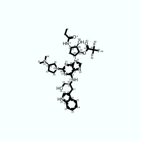 CCC(=O)N[C@H]1C[C@@H](n2cnc3c(N[C@H](CO)Cc4c[nH]c5ccccc45)nc(N4CC[C@@H](N(C)C)C4)nc32)[C@H](OC(=O)C(F)(F)F)[C@@H]1O